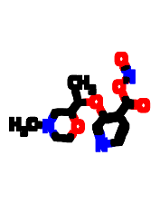 CC(Oc1cnccc1C(=O)ON=O)C1CN(C)CCO1